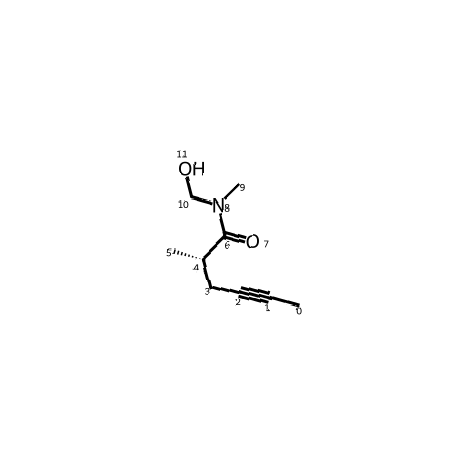 CC#CC[C@H](C)C(=O)N(C)CO